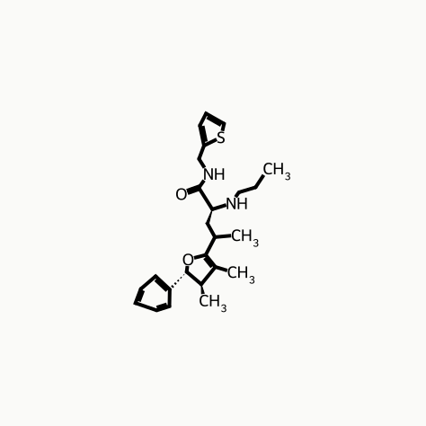 CCCN[C@@H](CC(C)C1=C(C)[C@@H](C)[C@H](c2ccccc2)O1)C(=O)NCc1cccs1